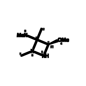 CNC1(C)[C@@H](OC)NN1C